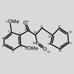 COc1cccc(OC)c1C(=O)C(Cc1ccccc1)P=O